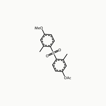 COc1ccc(S(=O)(=O)c2ccc(OC(C)=O)cc2C)c(C)c1